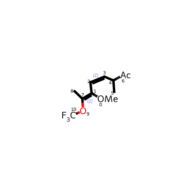 COC(/C=C\C(C)C(C)=O)=C(/C)OC(F)(F)F